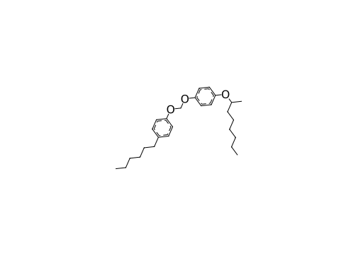 CCCCCCc1ccc(OCOc2ccc(OC(C)CCCCCC)cc2)cc1